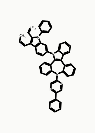 C=Cc1c(/C=C\C)c2ccc(-n3c4c(c5ccccc53)-c3ccccc3N(c3cnc(-c5ccccc5)cn3)c3ccccc3-4)cc2n1-c1ccccc1